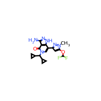 Cn1nc(-c2cn(C(C3CC3)C3CC3)c(=O)c3c(N)n[nH]c23)cc1OC(F)F